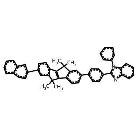 CC1(C)C2=C(c3ccc(-c4ccc(-c5nc6ccccc6n5-c5ccccc5)cc4)cc31)C(C)(C)c1cc(-c3ccc4ccccc4c3)ccc12